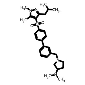 Cc1c(S(=O)(=O)c2ccc(-c3cccc(CN4CCC(N(C)C)C4)c3)cc2)c(CC(C)C)nn1C